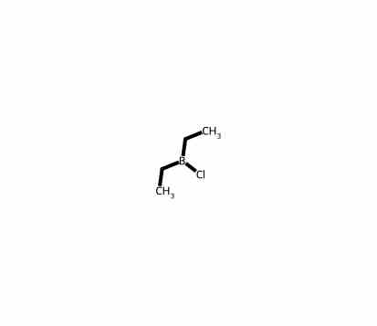 CCB(Cl)CC